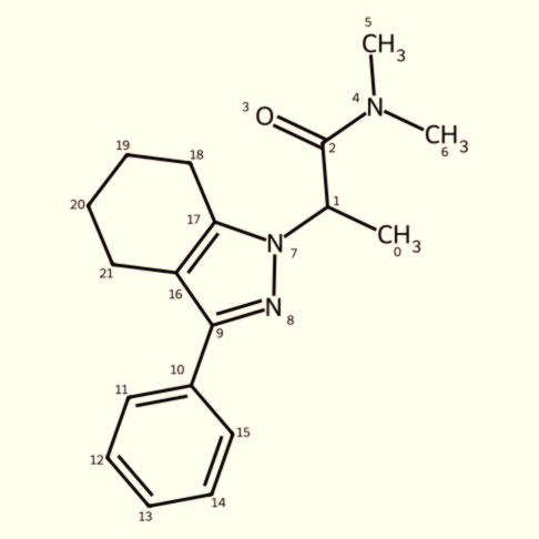 CC(C(=O)N(C)C)n1nc(-c2ccccc2)c2c1CCCC2